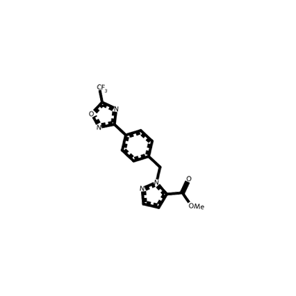 COC(=O)c1ccnn1Cc1ccc(-c2noc(C(F)(F)F)n2)cc1